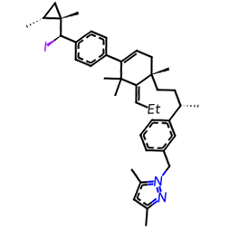 CC/C=C1/C(C)(C)C(c2ccc([C@@H](I)[C@@]3(C)C[C@H]3C)cc2)=CC[C@]1(C)CC[C@H](C)c1cccc(Cn2nc(C)cc2C)c1